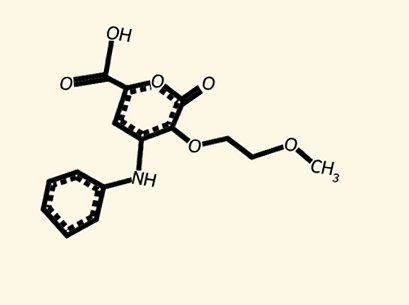 COCCOc1c(Nc2ccccc2)cc(C(=O)O)oc1=O